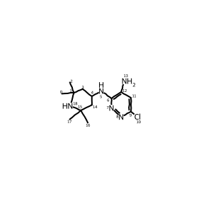 CC1(C)CC(Nc2nnc(Cl)cc2N)CC(C)(C)N1